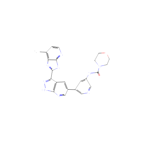 N#Cc1ccnc2[nH]c(-c3n[nH]c4ncc(-c5cncc(NC(=O)N6CCOCC6)c5)cc34)nc12